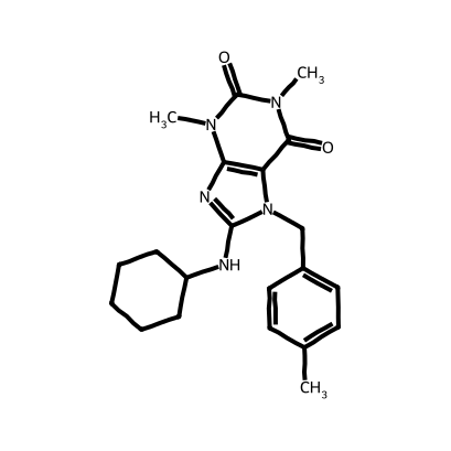 Cc1ccc(Cn2c(NC3CCCCC3)nc3c2c(=O)n(C)c(=O)n3C)cc1